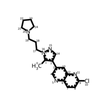 Cc1c(-c2cnc3ccc(Cl)nc3c2)cnn1CCCN1CCCC1